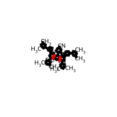 Cc1cc(C)cc(-c2ccc3c(c2)c2cc(-c4cc(C)cc(C)c4)ccc2n3-c2cc(C#N)cc(-n3c4ccc(-c5cc(C)cc(C)c5)cc4c4cc(-c5cc(C)cc(C)c5)ccc43)c2-c2cc(C#N)cc(C(F)(F)F)c2)c1